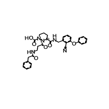 N#Cc1c(CNC(=O)[C@@H]2CCCN(C(=O)O)N2C(=O)CCNC(=O)Cc2ccccc2)cccc1Oc1ccccc1